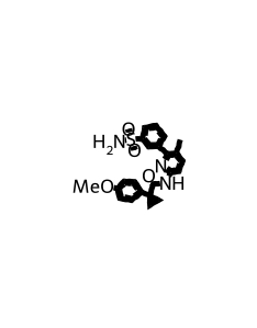 COc1ccc(C2(C(=O)Nc3ccc(C)c(-c4cccc(S(N)(=O)=O)c4)n3)CC2)cc1